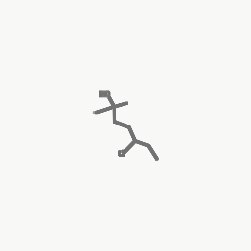 [CH2]C(C)(O)CCC(Cl)CC